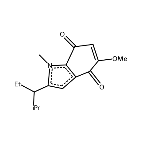 CCC(c1cc2c(n1C)C(=O)C=C(OC)C2=O)C(C)C